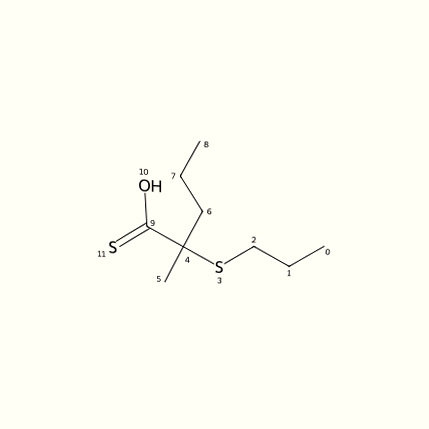 CCCSC(C)(CCC)C(O)=S